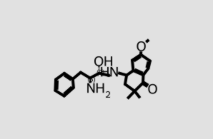 COc1ccc2c(c1)C(NC[C@@H](O)[C@@H](N)Cc1ccccc1)CC(C)(C)C2=O